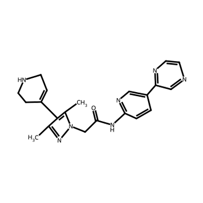 Cc1nn(CC(=O)Nc2ccc(-c3cnccn3)cn2)c(C)c1C1=CCNCC1